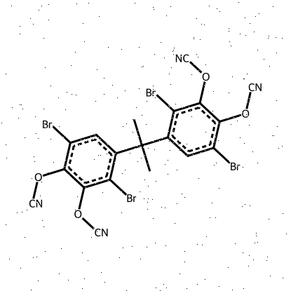 CC(C)(c1cc(Br)c(OC#N)c(OC#N)c1Br)c1cc(Br)c(OC#N)c(OC#N)c1Br